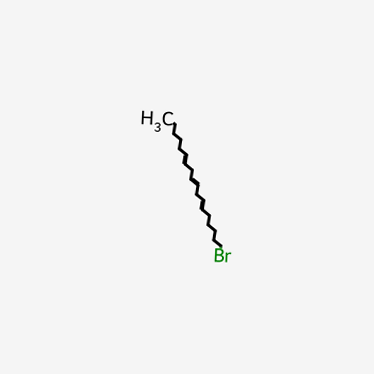 CCCCCC=CCC=CCC=CCCCCCBr